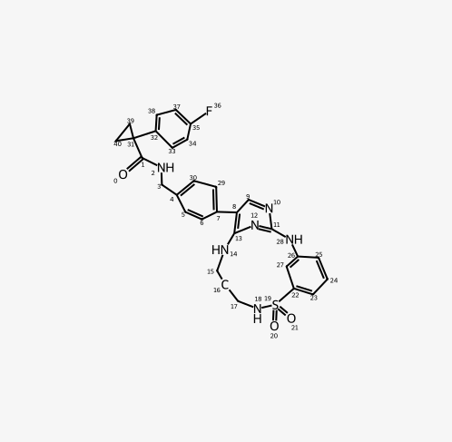 O=C(NCc1ccc(-c2cnc3nc2NCCCNS(=O)(=O)c2cccc(c2)N3)cc1)C1(c2ccc(F)cc2)CC1